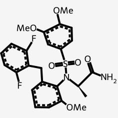 COc1ccc(S(=O)(=O)N(c2c(Cc3c(F)cccc3F)cccc2OC)[C@H](C)C(N)=O)cc1OC